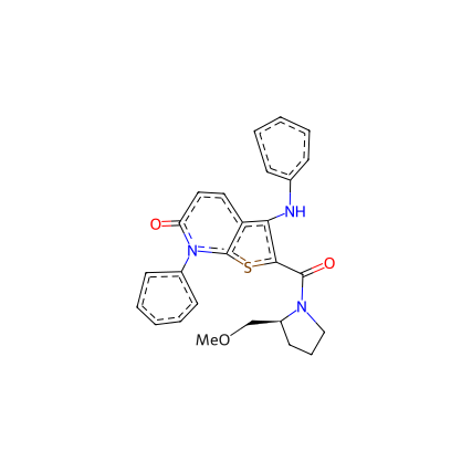 COC[C@@H]1CCCN1C(=O)c1sc2c(ccc(=O)n2-c2ccccc2)c1Nc1ccccc1